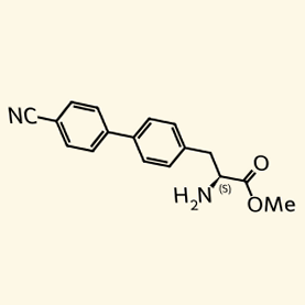 COC(=O)[C@@H](N)Cc1ccc(-c2ccc(C#N)cc2)cc1